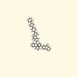 CC1(C)c2ccccc2-c2ccc(-c3ccc(N(c4ccc5c(c4)C(C)(C)c4cc(-c6ccc(-c7ccc(-c8ccccc8)cc7)cc6)ccc4-5)c4ccccc4-c4ccccc4)cc3)cc21